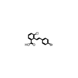 O=C(O)c1cccc(Cl)c1C=Cc1ccc(Br)cc1